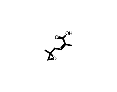 CC(=CCC1(C)CO1)C(=O)O